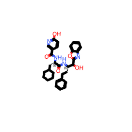 O=C(N[C@@H](CC1CCCCC1)C(=O)N[C@@H](CCc1ccccc1)C(O)c1nc2ccccc2o1)c1ccc(O)nc1